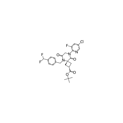 CC(C)(C)OC(=O)[C@H]1C[C@]2(C1)C(=O)N(c1ncc(Cl)cc1F)CC(=O)N2Cc1ccc(C(F)F)cc1